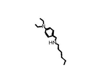 CCCCCCNCc1ccc(N(CC)CC)cc1